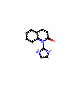 O=c1ccc2ccccc2n1-c1ncc[nH]1